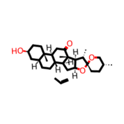 C=CC.C[C@@H]1CC[C@@]2(OC1)O[C@H]1C[C@H]3[C@@H]4CC[C@H]5C[C@@H](O)CC[C@]5(C)[C@H]4CC(=O)[C@]3(C)[C@H]1[C@@H]2C